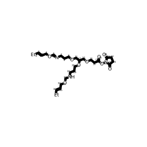 CCC=CCO/C=N/CCCOCC(COCCC(=O)ON1C(=O)CCC1=O)OCCCNCOCC=CCC